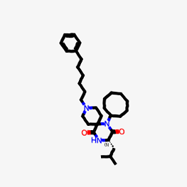 CC(C)C[C@@H]1NC(=O)C2(CCN(CCCCCCc3ccccc3)CC2)N(C2CCCCCCC2)C1=O